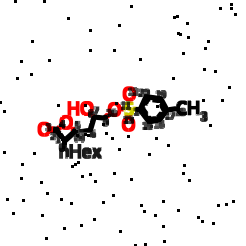 CCCCCCC1C(=O)O[C@H]1CC(O)COS(=O)(=O)c1ccc(C)cc1